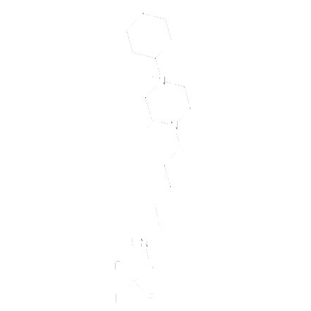 FC(F)(F)SNSCCCSN1CCN(C2CCCCC2)CC1